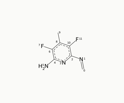 C=Nc1nc(N)c(F)c(C)c1F